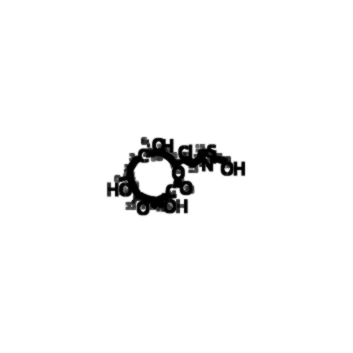 C[C@H]1CCC[C@@]2(C)O[C@H]2C[C@@H](C(Cl)=Cc2csc(CO)n2)OC(=O)C[C@H](O)C(C)(C)C(=O)[C@H](C)[C@H]1O